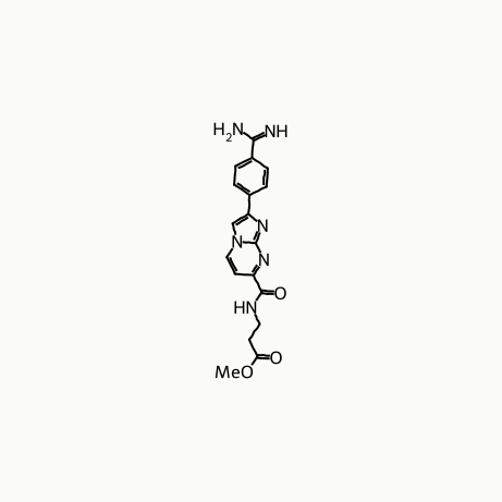 COC(=O)CCNC(=O)c1ccn2cc(-c3ccc(C(=N)N)cc3)nc2n1